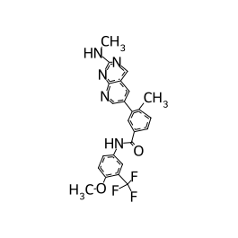 CNc1ncc2cc(-c3cc(C(=O)Nc4ccc(OC)c(C(F)(F)F)c4)ccc3C)cnc2n1